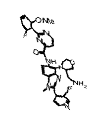 COc1cccc(F)c1-c1nccc(C(=O)Nc2ccc3c(nc(-c4ccncc4F)n3C)c2N2CCOCC2CN)n1